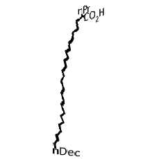 CCCCCCCCCCCCCCCCCC/C=C/C=C/CC/C=C/C=C/C=C/C=C/CCCC(CCC)C(=O)O